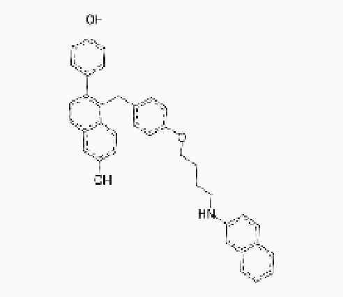 Oc1ccc(-c2ccc3cc(O)ccc3c2Cc2ccc(OCCCCNc3ccc4ccccc4c3)cc2)cc1